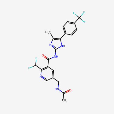 CC(=O)NCc1cnc(C(F)F)c(C(=O)Nc2nc(C)c(-c3ccc(C(F)(F)F)cc3)[nH]2)c1